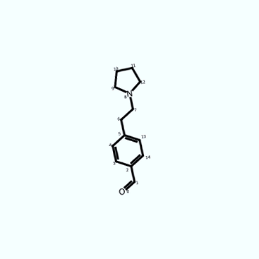 O=Cc1ccc(CCN2CCCC2)cc1